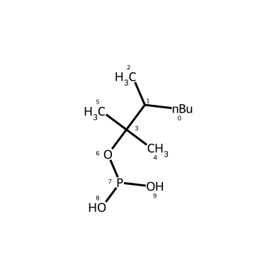 CCCCC(C)C(C)(C)OP(O)O